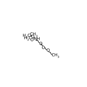 CCCCOCCOCCOCCCNC(=O)OC(C)(C)C